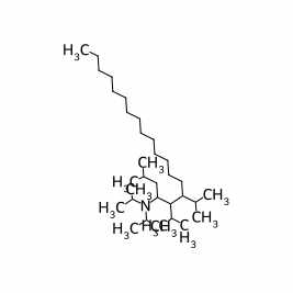 CCCCCCCCCCCCCCC(C(C)C)C(C(C)C)C(CC(C)C)N(C(C)C)C(C)C